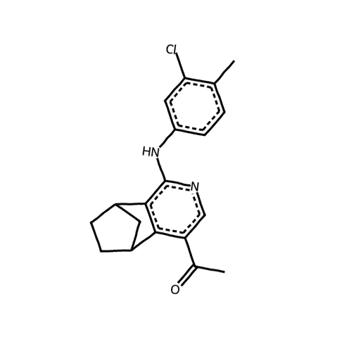 CC(=O)c1cnc(Nc2ccc(C)c(Cl)c2)c2c1C1CCC2C1